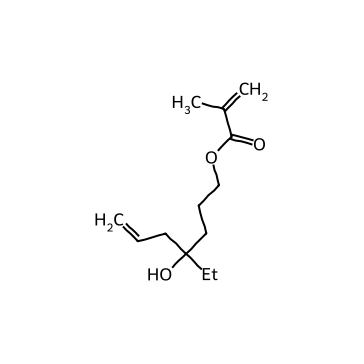 C=CCC(O)(CC)CCCOC(=O)C(=C)C